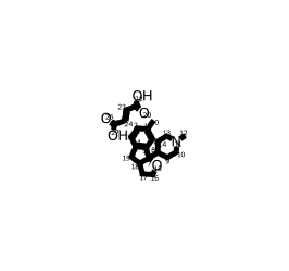 Cc1ccc2c(c1)C1(C3CCN(C)CC3)OCCC1C2.O=C(O)C=CC(=O)O